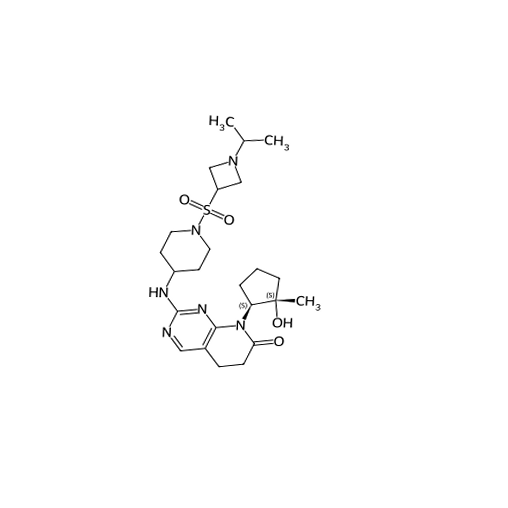 CC(C)N1CC(S(=O)(=O)N2CCC(Nc3ncc4c(n3)N([C@H]3CCC[C@]3(C)O)C(=O)CC4)CC2)C1